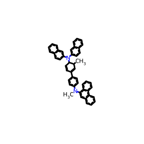 CC1C=C(c2ccc(N(C)c3cc4ccccc4c4ccccc34)cc2)C=CC1N(c1ccc2ccccc2c1)c1ccc2ccccc2c1